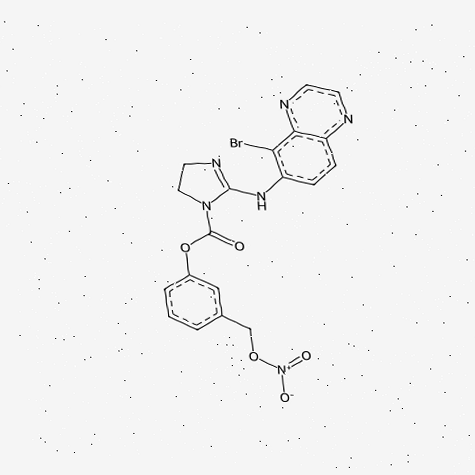 O=C(Oc1cccc(CO[N+](=O)[O-])c1)N1CCN=C1Nc1ccc2nccnc2c1Br